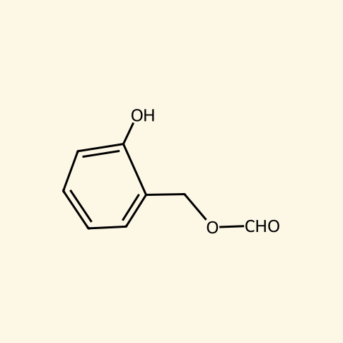 O=COCc1ccccc1O